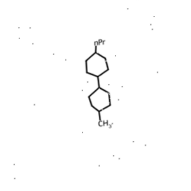 CCCC1CCC(C2CCC(C)CC2)CC1